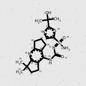 CC(C)(O)c1ncc([S@](N)(=O)=NC(=O)Nc2c3c(nc4c2CCC4(C)C)CCC3)s1